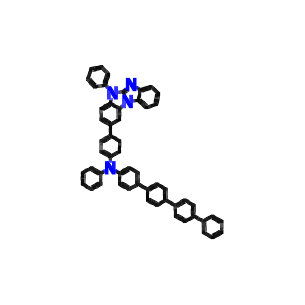 C1=C(c2ccc3c(c2)n2c4ccccc4nc2n3-c2ccccc2)CCC(N(c2ccccc2)c2ccc(-c3ccc(-c4ccc(-c5ccccc5)cc4)cc3)cc2)=C1